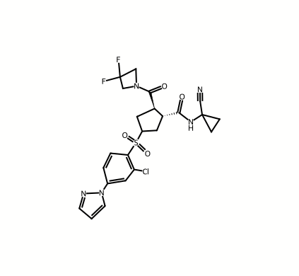 N#CC1(NC(=O)[C@@H]2CC(S(=O)(=O)c3ccc(-n4cccn4)cc3Cl)C[C@H]2C(=O)N2CC(F)(F)C2)CC1